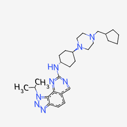 CC(C)n1nnc2ccc3cnc(N[C@H]4CC[C@H](N5CCN(CC6CCCC6)CC5)CC4)nc3c21